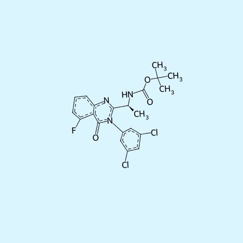 C[C@H](NC(=O)OC(C)(C)C)c1nc2cccc(F)c2c(=O)n1-c1cc(Cl)cc(Cl)c1